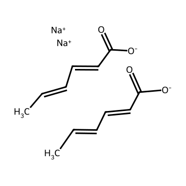 C/C=C/C=C/C(=O)[O-].C/C=C/C=C/C(=O)[O-].[Na+].[Na+]